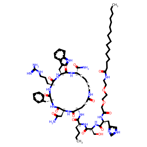 CCCCCCCCCCCCCCCC(=O)NCCOCCOCC(=O)N[C@@H](Cc1c[nH]cn1)C(=O)N[C@@H](CO)C(=O)N[C@@H](CCCC)C(=O)N[C@H]1CCC(=O)NCCCC[C@@H](C(N)=O)NC(=O)[C@H](Cc2c[nH]c3ccccc23)NC(=O)[C@H](CCCNC(=N)N)NC(=O)[C@@H](Cc2ccccc2)NC(=O)[C@H](CC(N)=O)NC1=O